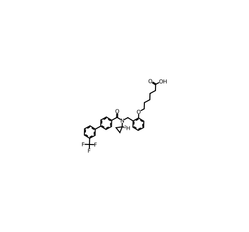 [2H]C1(N(Cc2ccccc2OCCCCCC(=O)O)C(=O)c2ccc(-c3cccc(C(F)(F)F)c3)cc2)CC1